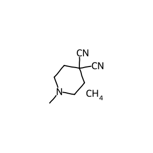 C.CN1CCC(C#N)(C#N)CC1